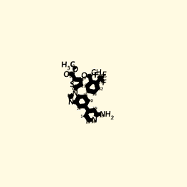 COC(=O)c1sc(-n2cnc3cc(-c4ccnc(N)c4)ccc32)cc1OC(C)c1ccccc1C(F)(F)F